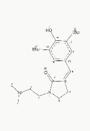 CN(C)CCN1CCC(=Cc2cc(C(C)(C)C)c(O)c(C(C)(C)C)c2)C1=O